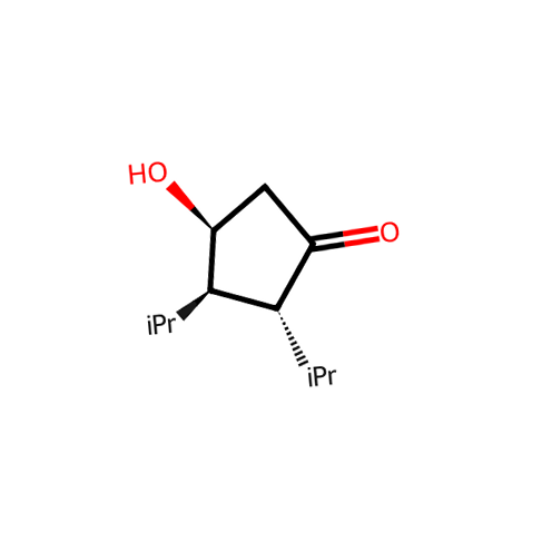 CC(C)[C@@H]1[C@@H](C(C)C)C(=O)C[C@@H]1O